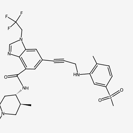 Cc1ccc(S(C)(=O)=O)cc1NCC#Cc1cc(C(=O)N[C@H]2CCN(C)C[C@@H]2C)c2ncn(CC(F)(F)F)c2c1